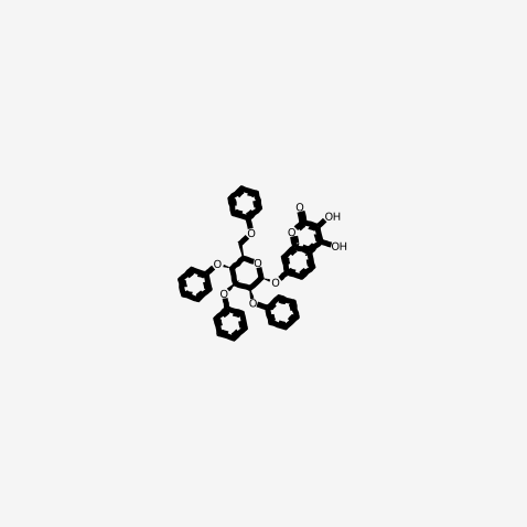 O=c1oc2cc(O[C@H]3O[C@H](COc4ccccc4)[C@@H](Oc4ccccc4)[C@H](Oc4ccccc4)[C@@H]3Oc3ccccc3)ccc2c(O)c1O